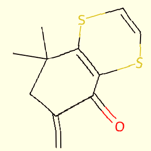 C=C1CC(C)(C)C2=C(SC=CS2)C1=O